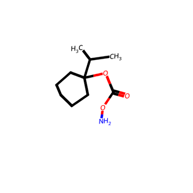 CC(C)C1(OC(=O)ON)CCCCC1